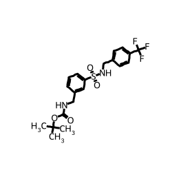 CC(C)(C)OC(=O)NCc1cccc(S(=O)(=O)NCc2ccc(C(F)(F)F)cc2)c1